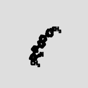 CN1C=CC(c2ccc(-c3ccc4cc(N5CCN(C)CC5)ccc4c3)s2)=C(C#N)C1